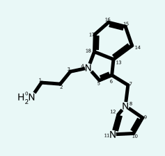 NCCCn1cc(Cn2ccnc2)c2ccccc21